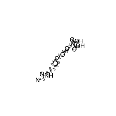 N#CCC(=O)NCCCCc1ccc(OCCOCCOCCN(C(=O)O)C(=O)O)cc1